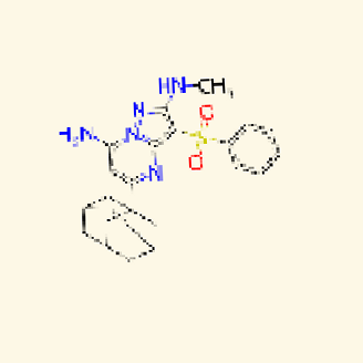 CNc1nn2c(N)cc(C34CC5CC(CC(C5)C3)C4)nc2c1S(=O)(=O)c1ccccc1